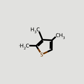 [CH2]c1scc(C)c1C